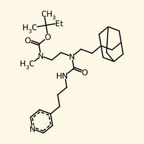 CCC(C)(C)OC(=O)N(C)CCN(CCC12CC3CC(CC(C3)C1)C2)C(=O)NCCCc1ccncc1